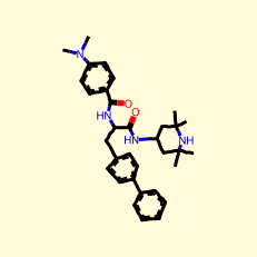 CN(C)c1ccc(C(=O)NC(Cc2ccc(-c3ccccc3)cc2)C(=O)NC2CC(C)(C)NC(C)(C)C2)cc1